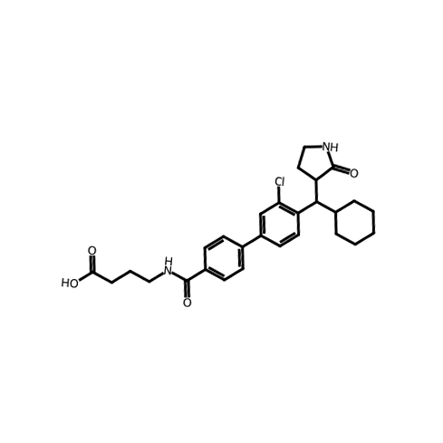 O=C(O)CCCNC(=O)c1ccc(-c2ccc(C(C3CCCCC3)C3CCNC3=O)c(Cl)c2)cc1